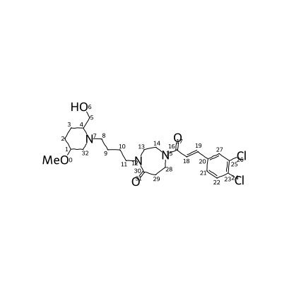 COC1CCC(CO)N(CCCCN2CCN(C(=O)/C=C/c3ccc(Cl)c(Cl)c3)CCC2=O)C1